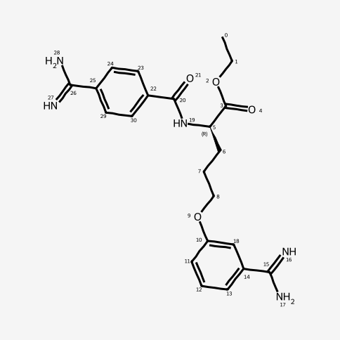 CCOC(=O)[C@@H](CCCOc1cccc(C(=N)N)c1)NC(=O)c1ccc(C(=N)N)cc1